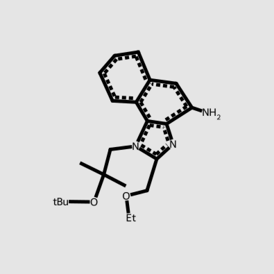 CCOCc1nc2c(N)cc3ccccc3c2n1CC(C)(C)OC(C)(C)C